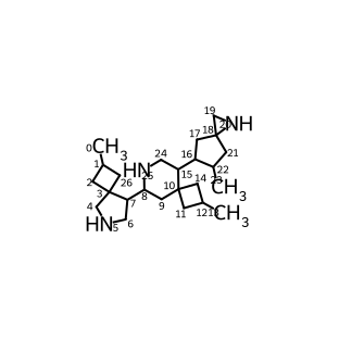 CC1CC2(CNCC2C2CC3(CC(C)C3)C(C3CC4(CN4)CC3C)CN2)C1